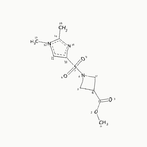 COC(=O)C1CN(S(=O)(=O)c2cn(C)c(C)n2)C1